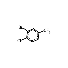 CCC(C)c1cc(C(F)(F)F)ccc1Cl